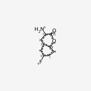 Nc1cc2cc(F)ccc2oc1=O